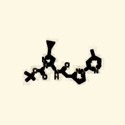 Cc1ccnc(-n2ccc(CC(=O)Nc3cc(C4CC4)nn3C(=O)OC(C)(C)C)n2)c1